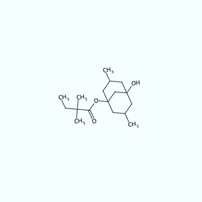 CCC(C)(C)C(=O)OC12CC(C)CC(O)(CC(C)C1)C2